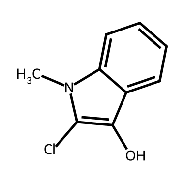 Cn1c(Cl)c(O)c2ccccc21